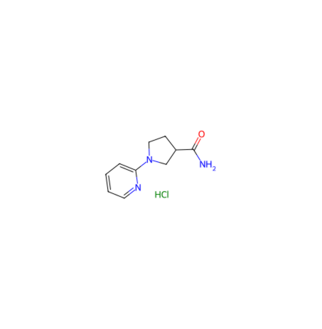 Cl.NC(=O)C1CCN(c2ccccn2)C1